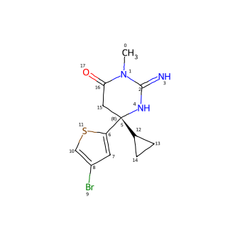 CN1C(=N)N[C@@](c2cc(Br)cs2)(C2CC2)CC1=O